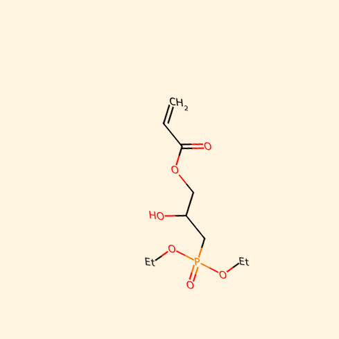 C=CC(=O)OCC(O)CP(=O)(OCC)OCC